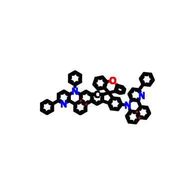 c1ccc(-c2ccc(N(c3ccccc3)c3ccc4c(c3)C3(c5ccccc5Oc5ccccc53)c3cc5cc(N(c6ccccc6)c6ccc(-c7ccccc7)nc6-c6ccccc6)ccc5cc3-4)c(-c3ccccc3)n2)cc1